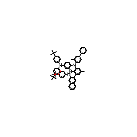 Cc1cc2c3c(c1)N(c1ccc(-c4ccccc4)cc1C)c1ccc(N(c4ccc(C(C)(C)C)cc4)c4ccc(C(C)(C)C)cc4)cc1B3N(c1ccc(C(C)(C)C)cc1)c1cc3ccccc3cc1-2